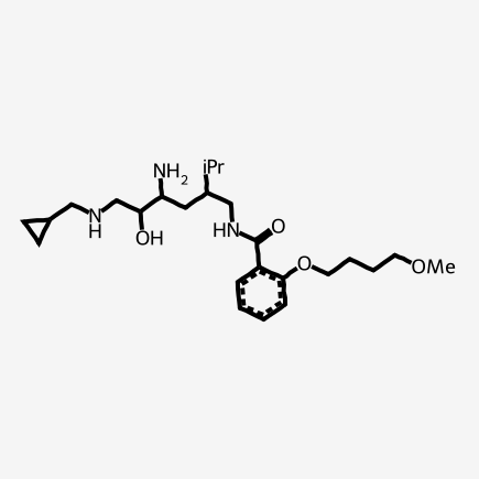 COCCCCOc1ccccc1C(=O)NCC(CC(N)C(O)CNCC1CC1)C(C)C